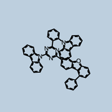 c1ccc(-c2cccc3oc4cc(-c5nc(-c6ccccc6-n6c7ccccc7c7ccccc76)nc(-n6c7ccccc7c7ccccc76)n5)ccc4c23)cc1